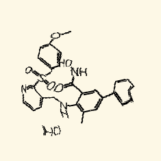 COc1ccc(S(=O)(=O)c2ncccc2CNc2c(C)cc(-c3ccccc3)cc2C(=O)NO)cc1.Cl